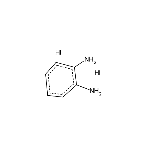 I.I.Nc1ccccc1N